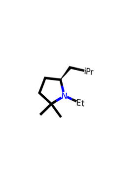 CCN1[C@H](CC(C)C)CCC1(C)C